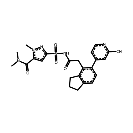 CN(C)C(=O)c1cc(S(=O)(=O)NC(=O)Cc2c(-c3ccnc(C#N)c3)ccc3c2CCC3)nn1C